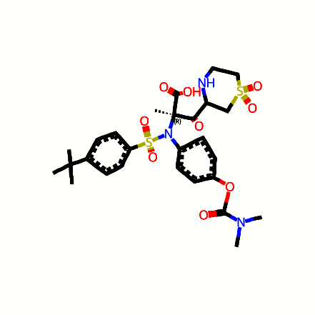 CN(C)C(=O)Oc1ccc(N([C@@](C)(C(=O)O)C(=O)C2CS(=O)(=O)CCN2)S(=O)(=O)c2ccc(C(C)(C)C)cc2)cc1